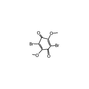 COC1=C(Br)C(=O)C(OC)=C(Br)C1=O